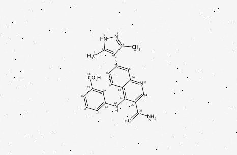 Cc1n[nH]c(C)c1-c1ccc2c(Nc3cccc(C(=O)O)c3)c(C(N)=O)cnc2c1